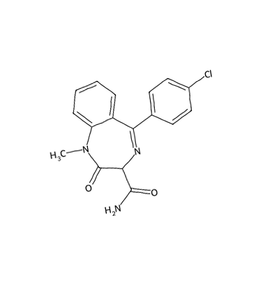 CN1C(=O)C(C(N)=O)N=C(c2ccc(Cl)cc2)c2ccccc21